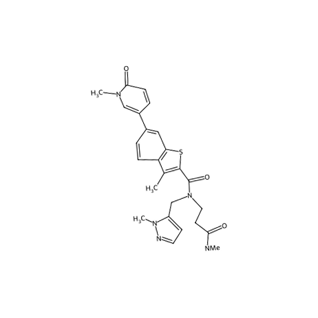 CNC(=O)CCN(Cc1ccnn1C)C(=O)c1sc2cc(-c3ccc(=O)n(C)c3)ccc2c1C